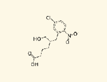 O=C(O)CCCC(CO)Cc1cc(Cl)ccc1[N+](=O)[O-]